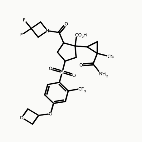 N#CC1(C(N)=O)CC1C1(C(=O)O)CC(S(=O)(=O)c2ccc(OC3COC3)cc2C(F)(F)F)CC1C(=O)N1CC(F)(F)C1